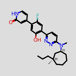 CCC[C@]1(C)CCCC[C@H](N(C)c2ccc(-c3cc(F)c(-c4cc[nH]c(=O)c4)cc3O)nn2)C1